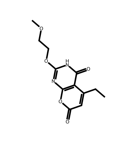 CCc1cc(=O)oc2nc(OCCOC)[nH]c(=O)c12